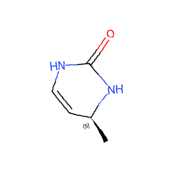 C[C@H]1C=CNC(=O)N1